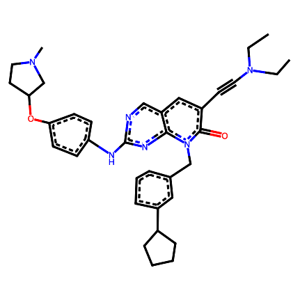 CCN(C#Cc1cc2cnc(Nc3ccc(OC4CCN(C)C4)cc3)nc2n(Cc2cccc(C3CCCC3)c2)c1=O)CC